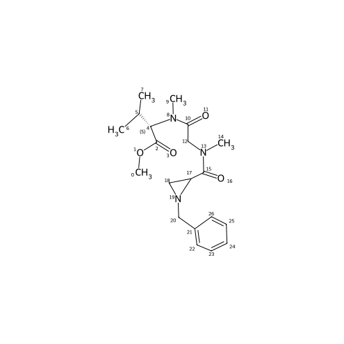 COC(=O)[C@H](C(C)C)N(C)C(=O)CN(C)C(=O)C1CN1Cc1ccccc1